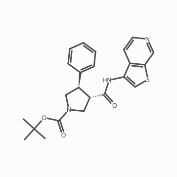 CC(C)(C)OC(=O)N1C[C@@H](C(=O)Nc2csc3cnccc23)[C@H](c2ccccc2)C1